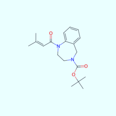 CC(C)=CC(=O)N1CCN(C(=O)OC(C)(C)C)Cc2ccccc21